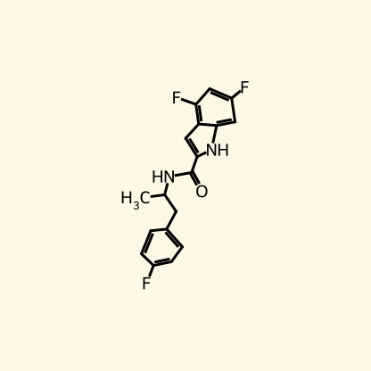 CC(Cc1ccc(F)cc1)NC(=O)c1cc2c(F)cc(F)cc2[nH]1